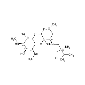 CN[C@@H]1[C@H](O)[C@H](NC)C2OC3(O)C(OC2[C@H]1O)O[C@H](C)C[C@H]3NC[C@](N)(C=O)C(C)C